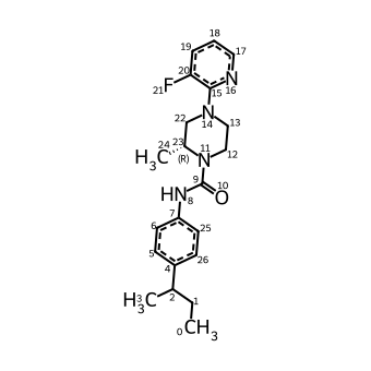 CCC(C)c1ccc(NC(=O)N2CCN(c3ncccc3F)C[C@H]2C)cc1